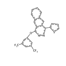 FC(F)(F)c1cc(Oc2nnc(-c3cccs3)c3cc4ccccc4cc23)cc(C(F)(F)F)c1